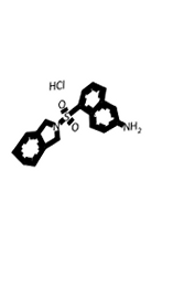 Cl.Nc1ccc2c(S(=O)(=O)N3Cc4ccccc4C3)cccc2c1